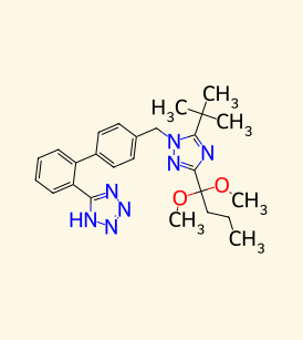 CCCC(OC)(OC)c1nc(C(C)(C)C)n(Cc2ccc(-c3ccccc3-c3nnn[nH]3)cc2)n1